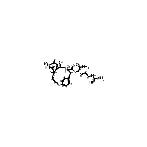 CC(C)C[C@H]1C(=O)N[C@H](C(=O)N[C@@H](CCCNC(=N)N)C(N)=O)Cc2ccc(cc2)OCCC[C@@H]1C(=O)NO